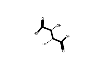 O=C(S)[C@H](O)[C@@H](O)C(=O)S